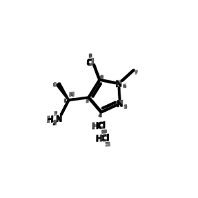 C[C@H](N)c1cnn(C)c1Cl.Cl.Cl